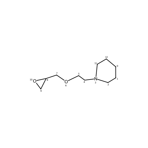 C1CCN(CCOCC2CO2)CC1